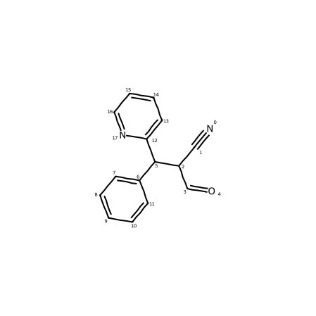 N#CC(C=O)C(c1ccccc1)c1ccccn1